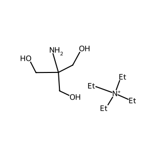 CC[N+](CC)(CC)CC.NC(CO)(CO)CO